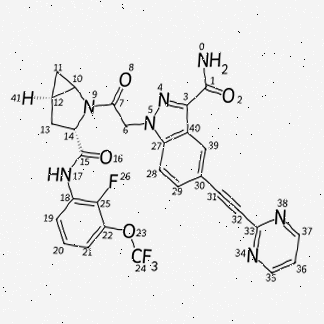 NC(=O)c1nn(CC(=O)N2C3C[C@@H]3C[C@H]2C(=O)Nc2cccc(OC(F)(F)F)c2F)c2ccc(C#Cc3ncccn3)cc12